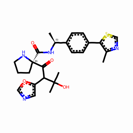 Cc1ncsc1-c1ccc([C@H](C)NC(=O)[C@]2(C(=O)C(c3cnco3)C(C)(C)O)CCCN2)cc1